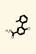 Cc1ccccc1-c1cc(C(N)=O)ccc1Cl